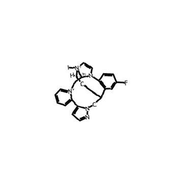 Fc1ccc2c(c1)C1CC[N+]3(I)C=CN2[C@H]3C[n+]2ccccc2-c2ccnn2C1